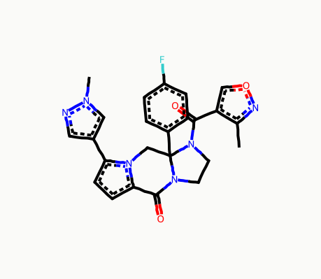 Cc1nocc1C(=O)N1CCN2C(=O)c3ccc(-c4cnn(C)c4)n3CC12c1ccc(F)cc1